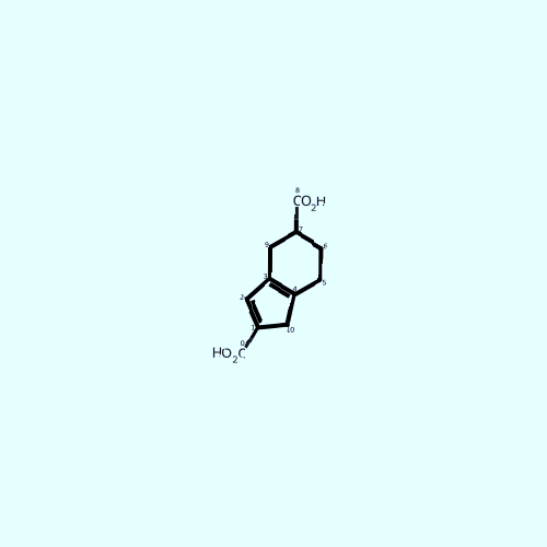 O=C(O)C1=CC2=C(CCC(C(=O)O)C2)C1